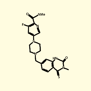 CNC(=O)c1ncc(N2CCN(Cc3ccc4c(=S)n(C)c(=O)[nH]c4c3)CC2)cc1F